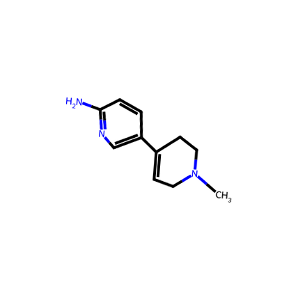 CN1CC=C(c2ccc(N)nc2)CC1